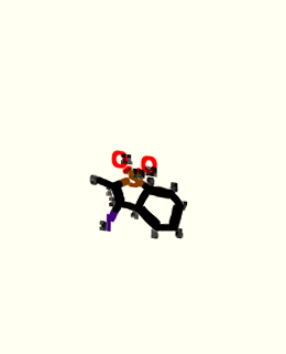 CC1=C(I)c2ccccc2S1(=O)=O